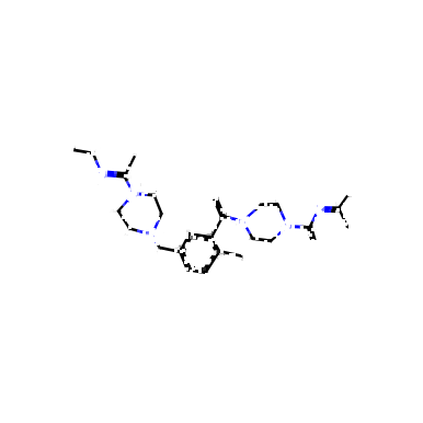 C=C(N=C(C)C)N1CCN(C(=C)c2cc(CN3CCN(/C(C)=N/CC)CC3)ccc2C)CC1